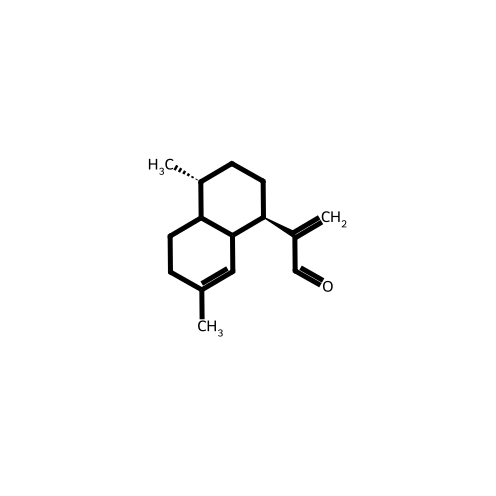 C=C(C=O)[C@@H]1CC[C@@H](C)C2CCC(C)=CC21